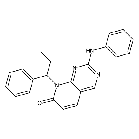 CCC(c1ccccc1)n1c(=O)ccc2cnc(Nc3ccccc3)nc21